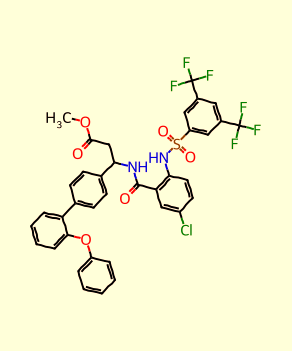 COC(=O)CC(NC(=O)c1cc(Cl)ccc1NS(=O)(=O)c1cc(C(F)(F)F)cc(C(F)(F)F)c1)c1ccc(-c2ccccc2Oc2ccccc2)cc1